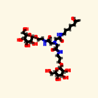 CC(=O)CCCCCNC(=O)CN(CC(=O)NCCCO[C@H]1O[C@H](CO)[C@@H](O)[C@H](O)[C@@H]1O)CC(=O)NCCO[C@H]1O[C@H](CO)[C@@H](O)[C@H](O)[C@@H]1O